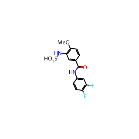 COc1ccc(C(=O)Nc2ccc(F)c(F)c2)cc1NS(=O)(=O)O